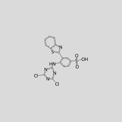 O=S(=O)(O)c1ccc(Nc2nc(Cl)nc(Cl)n2)c(-c2nc3ccccc3s2)c1